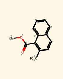 CCC(C)OC(=O)c1c(C(=O)O)ccc2ccccc12